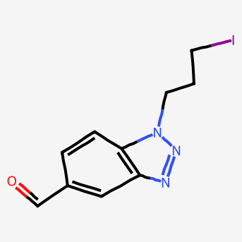 O=Cc1ccc2c(c1)nnn2CCCI